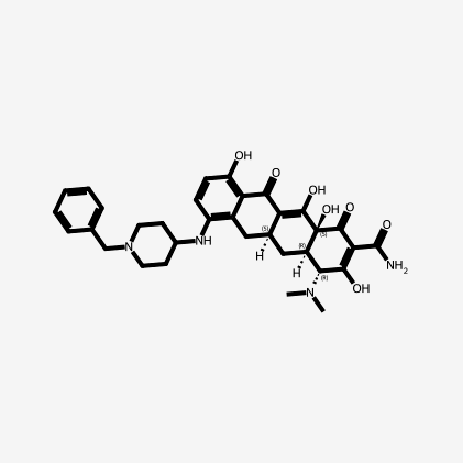 CN(C)[C@H]1C(O)=C(C(N)=O)C(=O)[C@@]2(O)C(O)=C3C(=O)c4c(O)ccc(NC5CCN(Cc6ccccc6)CC5)c4C[C@@H]3C[C@H]12